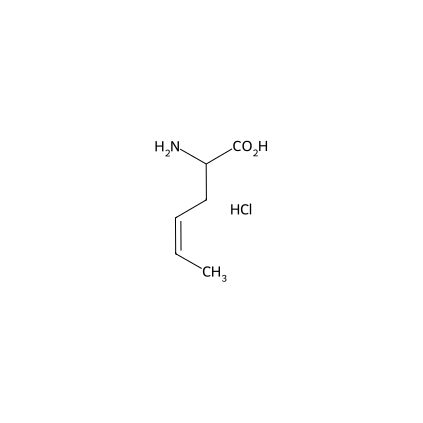 C/C=C\CC(N)C(=O)O.Cl